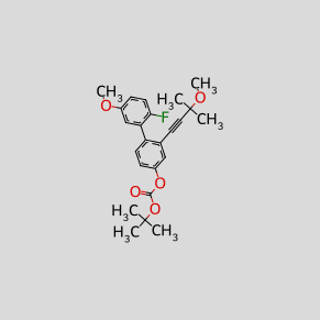 COc1ccc(F)c(-c2ccc(OC(=O)OC(C)(C)C)cc2C#CC(C)(C)OC)c1